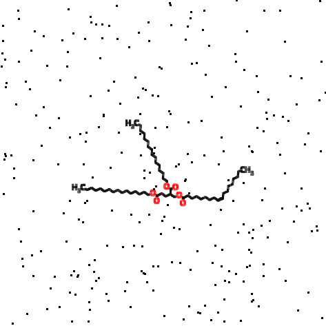 CCCCCCCC/C=C\CCCCCCCC(=O)OCC(CCC(=O)OCCCCCCCCCCCCCCCC)C(=O)OCCCCCCCCCCCCCCCC